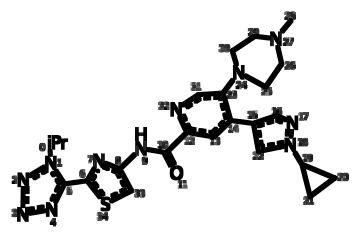 CC(C)n1nnnc1-c1nc(NC(=O)c2cc(-c3cnn(C4CC4)c3)c(N3CCN(C)CC3)cn2)cs1